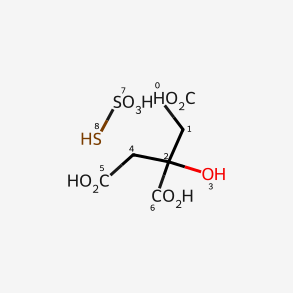 O=C(O)CC(O)(CC(=O)O)C(=O)O.O=S(=O)(O)S